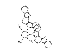 Cc1cc(C#N)c(-n2c3ccccc3c3c4oc5ccccc5c4ccc32)c(-n2c3ccccc3c3c4oc5c(c4ccc32)CCC=C5)c1C